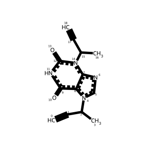 C#CC(C)n1cnc2c1c(=O)[nH]c(=O)n2C(C)C#C